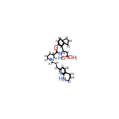 O=C(O)CC(NC(=O)C1CCCN(CCCc2ccc3c(n2)NCCC3)C1)c1cccc2c1CCC2